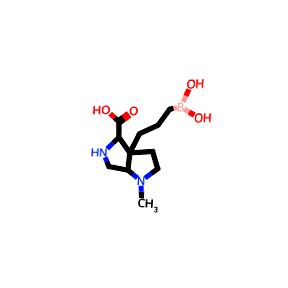 CN1CCC2(CCCB(O)O)C(C(=O)O)NCC12